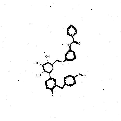 CCOc1ccc(Cc2cc([C@@H]3O[C@H](CSc4cccc(NC(=O)c5ccccc5)c4)[C@@H](O)[C@H](O)[C@H]3O)ccc2Cl)cc1